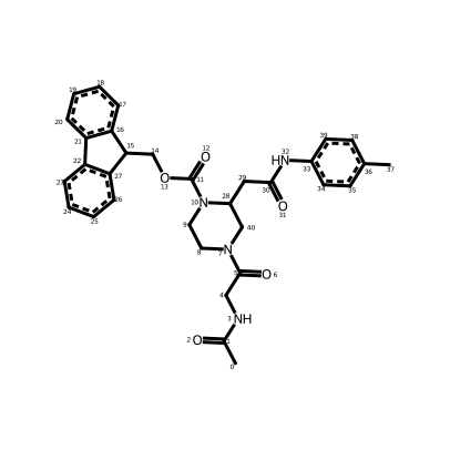 CC(=O)NCC(=O)N1CCN(C(=O)OCC2c3ccccc3-c3ccccc32)C(CC(=O)Nc2ccc(C)cc2)C1